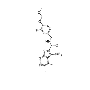 COCOc1ccc(CNC(=O)c2sc3nnc(C)c(C)c3c2N)cc1F